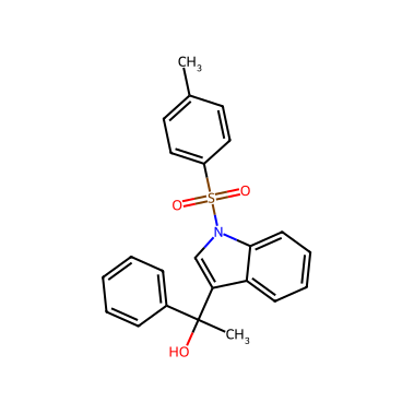 Cc1ccc(S(=O)(=O)n2cc(C(C)(O)c3ccccc3)c3ccccc32)cc1